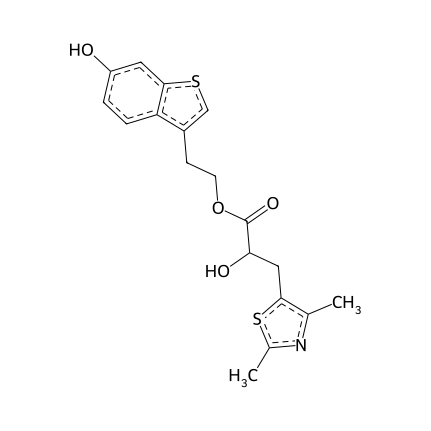 Cc1nc(C)c(CC(O)C(=O)OCCc2csc3cc(O)ccc23)s1